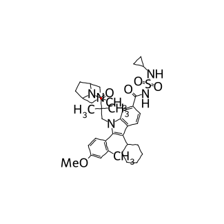 COc1ccc(-c2c(C3CCCCC3)c3ccc(C(=O)NS(=O)(=O)NC4CC4)cc3n2CC(C)(C)C(=O)N2C3CCC2CN(C)C3)c(C)c1